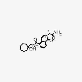 C[C@H](C(N)=O)n1ccc2c(C(=O)NCC3(O)CCCCCC3)cccc2c1=O